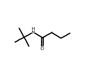 CC[CH]C(=O)NC(C)(C)C